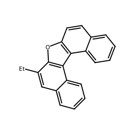 CCc1cc2ccccc2c2c1oc1ccc3ccccc3c12